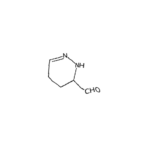 O=CC1CCC=NN1